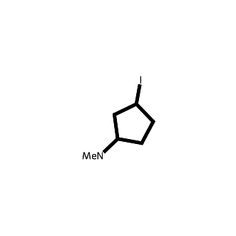 CNC1CCC(I)C1